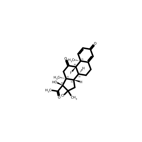 CC(=O)[C@@]1(O)C(C)(Cl)C[C@H]2[C@@H]3CCC4=CC(=O)C=C[C@]4(C)[C@@]3(F)C(=O)C[C@@]21C